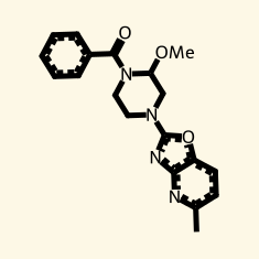 COC1CN(c2nc3nc(C)ccc3o2)CCN1C(=O)c1ccccc1